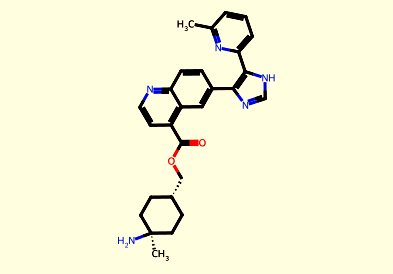 Cc1cccc(-c2[nH]cnc2-c2ccc3nccc(C(=O)OC[C@H]4CC[C@](C)(N)CC4)c3c2)n1